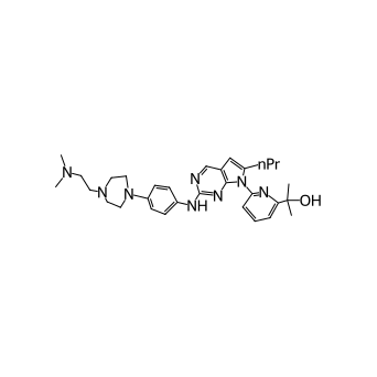 CCCc1cc2cnc(Nc3ccc(N4CCN(CCN(C)C)CC4)cc3)nc2n1-c1cccc(C(C)(C)O)n1